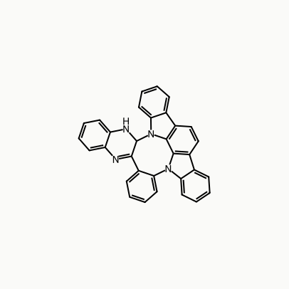 c1ccc2c(c1)N=C1c3ccccc3-n3c4ccccc4c4ccc5c6ccccc6n(c5c43)C1N2